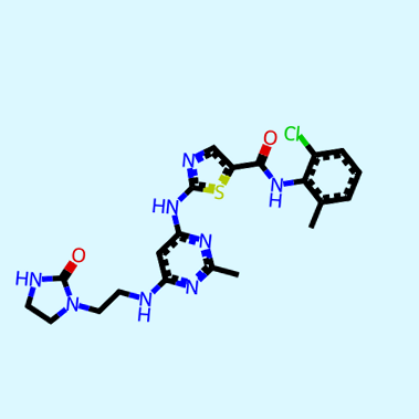 Cc1nc(NCCN2CCNC2=O)cc(Nc2ncc(C(=O)Nc3c(C)cccc3Cl)s2)n1